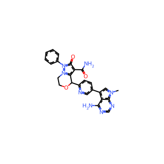 Cn1cc(-c2ccc(C3OCCn4c3c(C(N)=O)c(=O)n4-c3ccccc3)nc2)c2c(N)ncnc21